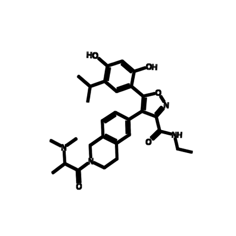 CCNC(=O)c1noc(-c2cc(C(C)C)c(O)cc2O)c1-c1ccc2c(c1)CCN(C(=O)C(C)N(C)C)C2